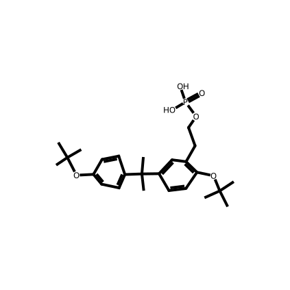 CC(C)(C)Oc1ccc(C(C)(C)c2ccc(OC(C)(C)C)c(CCOP(=O)(O)O)c2)cc1